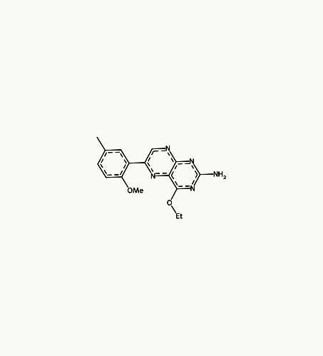 CCOc1nc(N)nc2ncc(-c3cc(C)ccc3OC)nc12